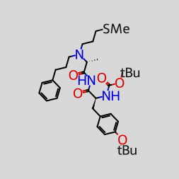 CSCCCN(CCCc1ccccc1)[C@H](C)C(=O)NC(=O)[C@H](Cc1ccc(OC(C)(C)C)cc1)NC(=O)OC(C)(C)C